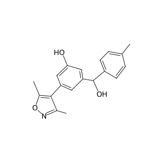 Cc1ccc(C(O)c2cc(O)cc(-c3c(C)noc3C)c2)cc1